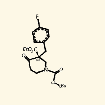 CCOC(=O)[C@@]1(Cc2ccc(F)cc2)CN(C(=O)OC(C)(C)C)CCC1=O